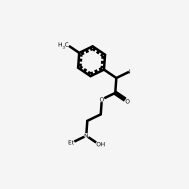 CCN(O)CCOC(=O)C(I)c1ccc(C)cc1